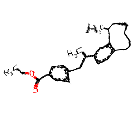 CCOC(=O)c1ccc(C=C(C)c2ccc3c(c2)C(C)CCCC3)cc1